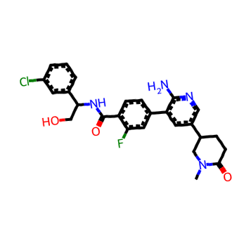 CN1CC(c2cnc(N)c(-c3ccc(C(=O)NC(CO)c4cccc(Cl)c4)c(F)c3)c2)CCC1=O